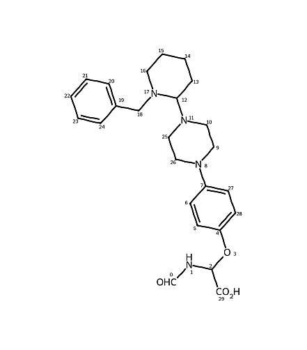 O=CNC(Oc1ccc(N2CCN(C3CCCCN3Cc3ccccc3)CC2)cc1)C(=O)O